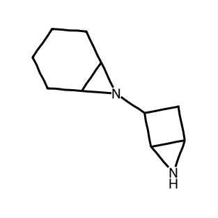 C1CCC2C(C1)N2C1CC2NC21